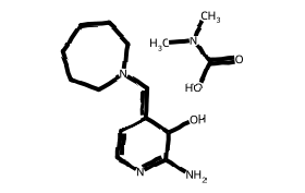 CN(C)C(=O)O.NC1=NC=CC(=CN2CCCCCC2)C1O